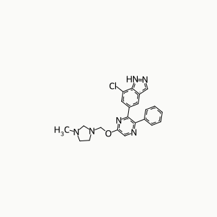 CN1CCN(COc2cnc(-c3ccccc3)c(-c3cc(Cl)c4[nH]ncc4c3)n2)C1